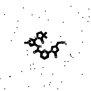 Cn1cc(NC(=O)c2cccc(N3CC(CN)CC3=O)n2)c(N2CCC(C)(C)C2=O)n1